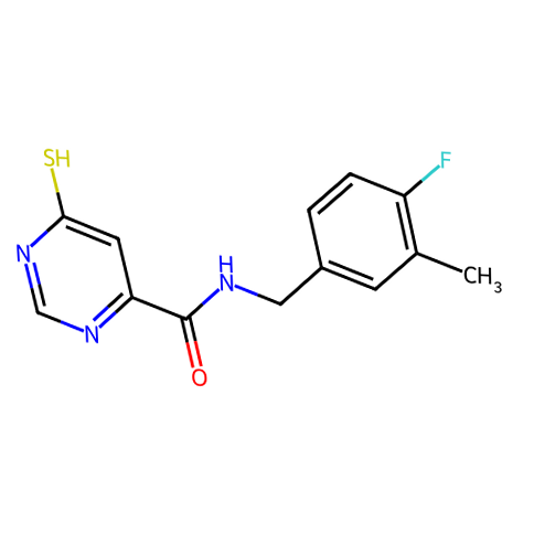 Cc1cc(CNC(=O)c2cc(S)ncn2)ccc1F